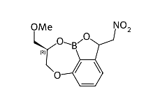 COC[C@@H]1COc2cccc3c2B(OC3C[N+](=O)[O-])O1